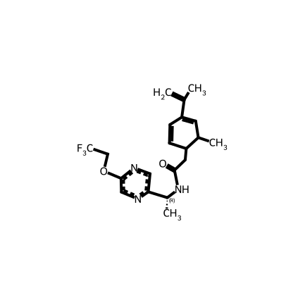 C=C(C)C1=CC(C)C(CC(=O)N[C@H](C)c2cnc(OCC(F)(F)F)cn2)C=C1